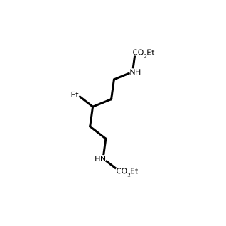 CCOC(=O)NCCC(CC)CCNC(=O)OCC